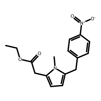 CCOC(=O)Cc1ccc(Cc2ccc([N+](=O)[O-])cc2)n1C